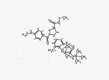 CCOC(=O)N1CC(C(=O)c2ccc(SC)cc2)[C@@H](c2cc(C)c(OC(C)(C)C(=O)OC(C)(C)C)c(C)c2)C1